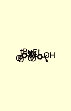 C#CC(O)c1ccc(C(=O)N(CC)N(C(=O)c2ccc3c(c2)OOC3)C(C)(C)C)cc1